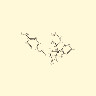 COc1ccc(COC[C@@H](C=O)O[Si](c2ccccc2)(c2ccccc2)C(C)(C)C)cc1